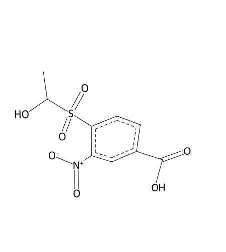 CC(O)S(=O)(=O)c1ccc(C(=O)O)cc1[N+](=O)[O-]